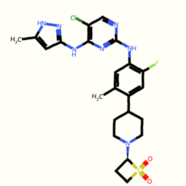 Cc1cc(Nc2nc(Nc3cc(C)c(C4CCN([C@@H]5CCS5(=O)=O)CC4)cc3F)ncc2Cl)n[nH]1